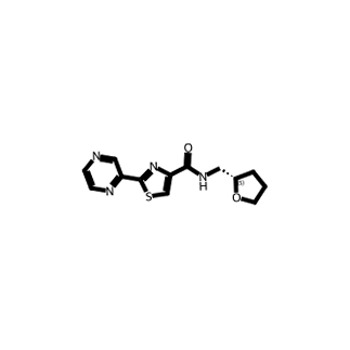 O=C(NC[C@@H]1CCCO1)c1csc(-c2cnccn2)n1